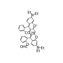 CCN(CC)c1ccc2c(-c3ccccc3OC=O)c3cc4c(-c5ccccc5C(=O)O)c5ccc(=[N+](CC)CC)cc5[o+]c4cc3oc2c1